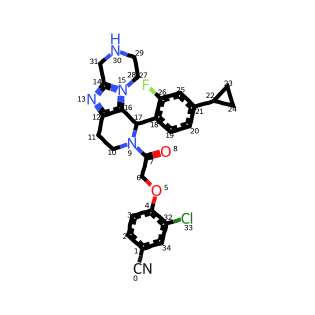 N#Cc1ccc(OCC(=O)N2CCc3nc4n(c3C2c2ccc(C3CC3)cc2F)CCNC4)c(Cl)c1